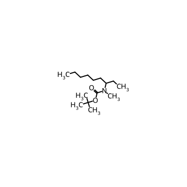 CCCCCCC(CC)N(C)C(=O)OC(C)(C)C